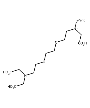 CCCCC[N+](CCOCCOCCN(CC(=O)O)CC(=O)O)CC(=O)O